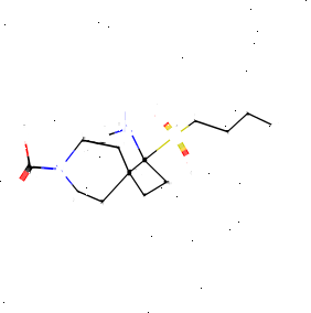 CCCCS(=O)(=O)C1(NC)CCC12CCN(C(=O)O)CC2